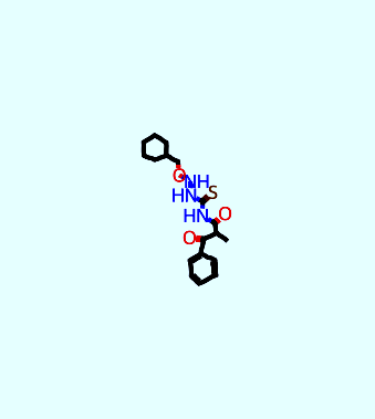 CC(C(=O)NC(=S)NNOCC1CCCCC1)C(=O)c1ccccc1